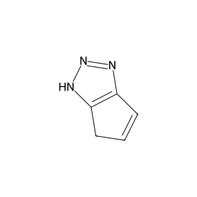 C1=Cc2nn[nH]c2C1